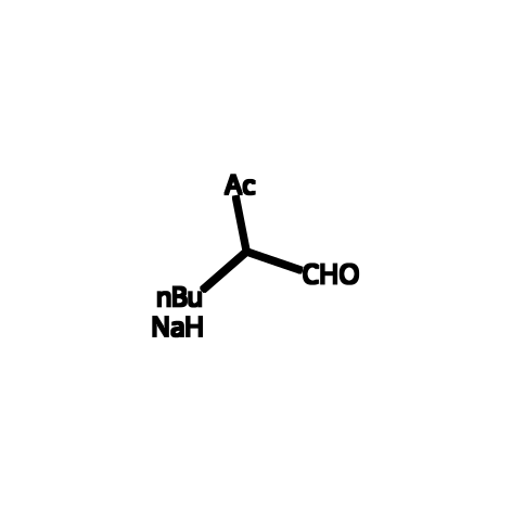 CCCCC(C=O)C(C)=O.[NaH]